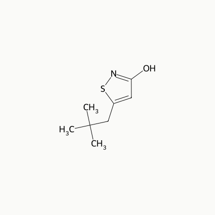 CC(C)(C)Cc1cc(O)ns1